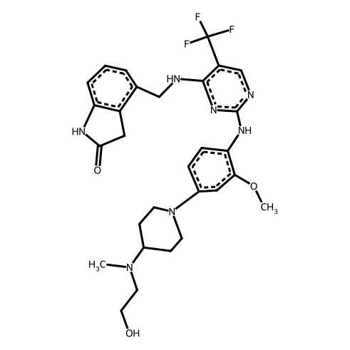 COc1cc(N2CCC(N(C)CCO)CC2)ccc1Nc1ncc(C(F)(F)F)c(NCc2cccc3c2CC(=O)N3)n1